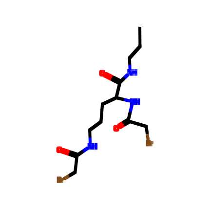 CCCNC(=O)C(CCCNC(=O)CBr)NC(=O)CBr